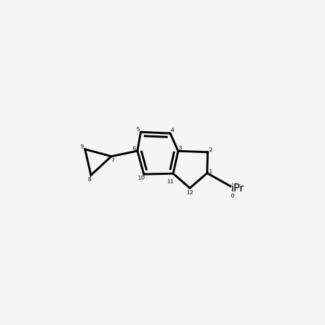 CC(C)C1Cc2ccc(C3CC3)cc2C1